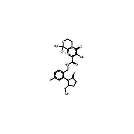 CC1(C)OCCn2c1nc(C(=O)NCc1ccc(F)cc1N1C(=O)CC[C@H]1CO)c(O)c2=O